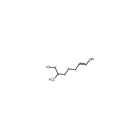 CCCC=CCCCC(C)C[O]